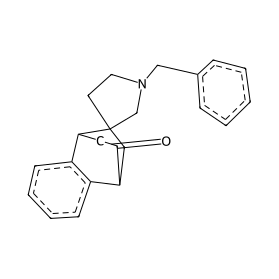 O=C1CC2c3ccccc3C1CC21CCN(Cc2ccccc2)C1